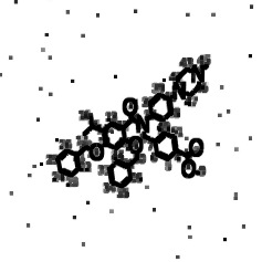 COC(=O)c1ccc(CN(C(=O)c2cc(C(C)C)c(OCc3ccccc3)cc2OCc2ccccc2)c2ccc(N3CCN(C)CC3)cc2)cc1